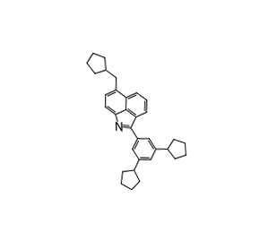 c1cc2c3c(ccc(CC4CCCC4)c3c1)N=C2c1cc(C2CCCC2)cc(C2CCCC2)c1